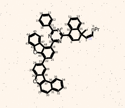 CCC/C=C\C1(C)CC=C(c2nc(-c3ccccc3)nc(-c3ccc(-c4ccc5oc6ccc7ccccc7c6c5c4)c4oc5ccccc5c34)n2)c2ccccc21